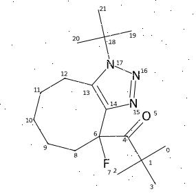 CC(C)(C)C(=O)C1(F)CCCCCc2c1nnn2C(C)(C)C